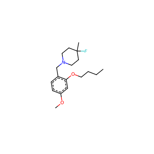 CCCCOc1cc(OC)ccc1CN1CCC(C)(F)CC1